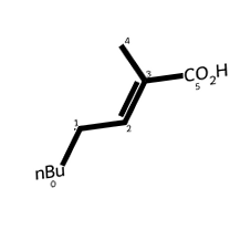 CCCC[CH]C=C(C)C(=O)O